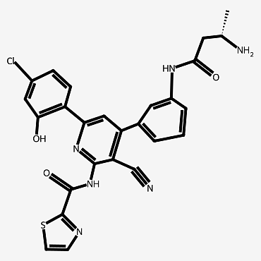 C[C@H](N)CC(=O)Nc1cccc(-c2cc(-c3ccc(Cl)cc3O)nc(NC(=O)c3nccs3)c2C#N)c1